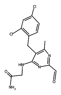 Cc1nc(C=O)nc(NCC(N)=O)c1Cc1ccc(Cl)cc1Cl